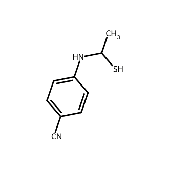 CC(S)Nc1ccc(C#N)cc1